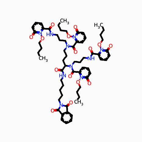 CCCCOn1c(C(=O)NCCCN(CCCC(C(=O)NCCCCCN2C(=O)c3ccccc3C2=O)N(CCCNC(=O)c2cccc(=O)n2OCCCC)C(=O)c2cccc(=O)n2OCCCC)C(=O)c2cccc(=O)n2OCCCC)cccc1=O